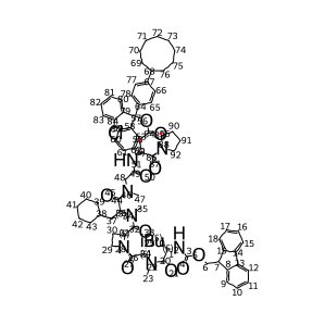 CC[C@H](C)[C@H](NC(=O)OCC1c2ccccc2-c2ccccc21)C(=O)N(C)[C@@H](C)C(=O)N1CC[C@H]1C(=O)N(C)[C@@H](CC1CCCCC1)C(=O)N(C)CC(=O)N[C@@H](CC(=O)OC(c1ccccc1)(c1ccc(C2CCCCCCCC2)cc1)c1ccccc1Cl)C(=O)N1CCCC1